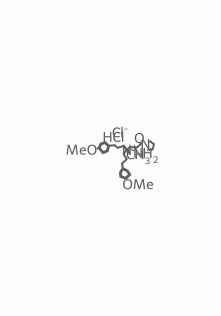 COc1ccc(CCC[N+](C)(CCCc2ccc(OC)cc2)C[C@H](N)C(=O)N2CCCC2)cc1.Cl.[Cl-]